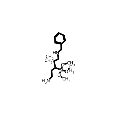 C=C.CO[Si](OC)(OC)C(CCN)CCNCc1ccccc1